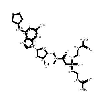 CN(C[C@H]1O[C@@H](n2cnc3c(NC4CCCC4)nc(Cl)nc32)C[C@@H]1O)C(=O)CP(=O)(OCOC(=O)C(C)(C)C)OCOC(=O)C(C)(C)C